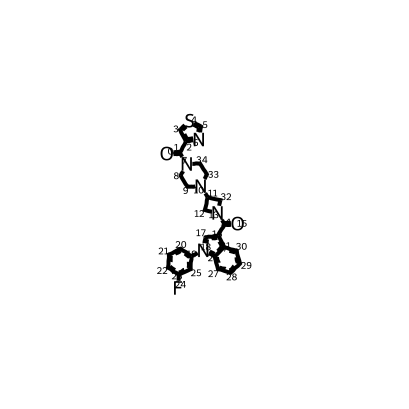 O=C(c1cscn1)N1CCN(C2CN(C(=O)c3cn(-c4cccc(F)c4)c4ccccc34)C2)CC1